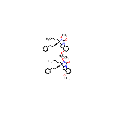 CCCCC1(C#CCCc2ccccc2)c2cc3c(OC)cccc3n2C(=O)N1OC.CCCCC1(C#CCCc2ccccc2)c2cc3c(OC)cccc3n2C(=O)N1OC